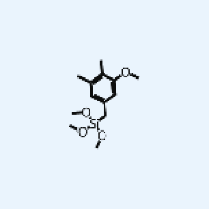 COc1cc(C[Si](OC)(OC)OC)cc(C)c1C